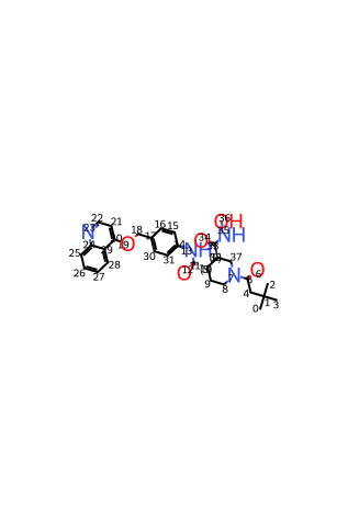 CC(C)(C)CC(=O)N1CC[C@H](C(=O)Nc2ccc(COc3ccnc4ccccc34)cc2)[C@@H](C(=O)NO)C1